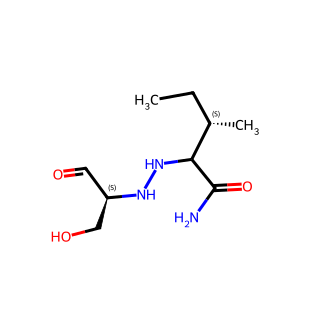 CC[C@H](C)C(NN[C@H](C=O)CO)C(N)=O